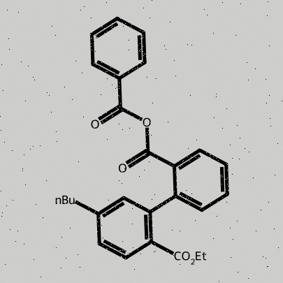 CCCCc1ccc(C(=O)OCC)c(-c2ccccc2C(=O)OC(=O)c2ccccc2)c1